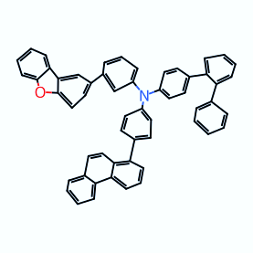 c1ccc(-c2ccccc2-c2ccc(N(c3ccc(-c4cccc5c4ccc4ccccc45)cc3)c3cccc(-c4ccc5oc6ccccc6c5c4)c3)cc2)cc1